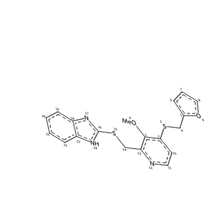 COc1c(SCc2ccco2)ccnc1CSc1nc2ccccc2[nH]1